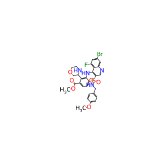 COC(=O)c1cccc(Nc2c(S(=O)(=O)NCc3ccc(OC)cc3)cnc3cc(Br)cc(F)c23)c1C1COCCN1